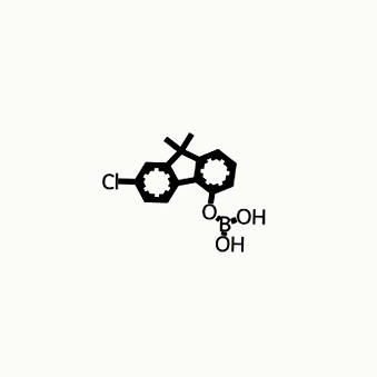 CC1(C)c2cc(Cl)ccc2-c2c(OB(O)O)cccc21